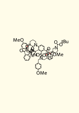 COc1ccc(CN(Cc2ccc(OC)cc2)S(=O)(=O)c2c(S(=O)(=O)N[C@@H]3CCN(C(=O)OC(C)(C)C)C3)ccc(N3CCC[C@H](ON4C(=O)c5ccccc5C4=O)C3=O)c2-c2nnn(Cc3ccc(OC)cc3)n2)cc1